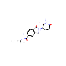 CC(C)(C)[C@@H](NC(=O)c1ccc2c(c1)CN(C1CCC(=O)NC1=O)C2=O)C(F)(F)F